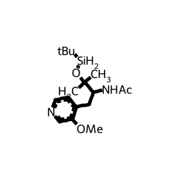 COc1cnccc1CC(NC(C)=O)C(C)(C)O[SiH2]C(C)(C)C